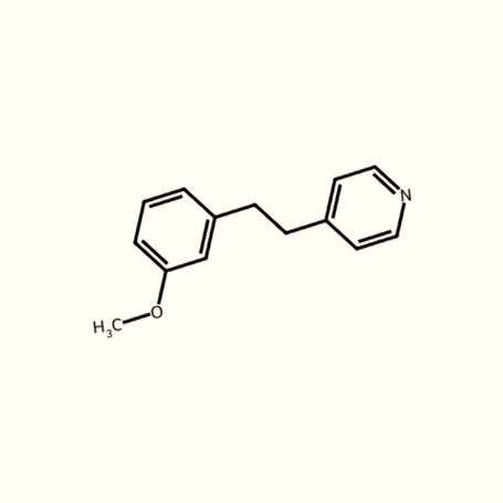 COc1cccc(CCc2ccncc2)c1